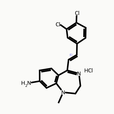 CN1CCN=C(/C=C/c2ccc(Cl)c(Cl)c2)c2ccc(N)cc21.Cl